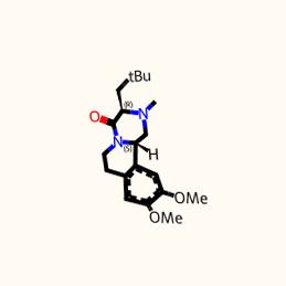 COc1cc2c(cc1OC)[C@H]1CN(C)[C@H](CC(C)(C)C)C(=O)N1CC2